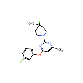 O=CC1(F)CCN(c2nc(Oc3cccc(F)c3)cc(C(F)(F)F)n2)CC1